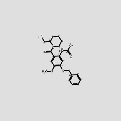 COc1cc(C(=O)N2CCCCC2CO)c(NC(=O)O)cc1OCc1ccccc1